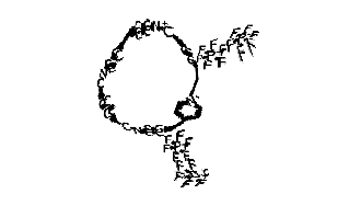 F[P-](F)(F)(F)(F)F.F[P-](F)(F)(F)(F)F.F[P-](F)(F)(F)(F)F.F[P-](F)(F)(F)(F)F.c1cc2ccc1C[n+]1ccc(cc1)-c1cc[n+](cc1)Cc1ccc(cc1)C[n+]1ccc(cc1)-c1cc[n+](cc1)C2